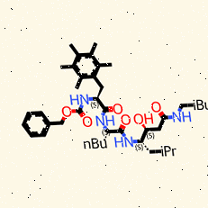 CCCC[C@H](NC(=O)[C@H](Cc1c(C)c(C)c(C)c(C)c1C)NC(=O)OCc1ccccc1)C(=O)N[C@@H](CC(C)C)[C@@H](O)CC(=O)NCC(C)CC